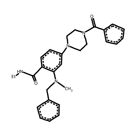 CCNC(=O)c1ccc(N2CCN(C(=O)c3ccccc3)CC2)cc1N(C)Cc1ccccc1